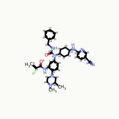 C=C(F)C(=O)Nc1cc(N(C(=O)NCc2ccccc2)C2CCC(Nc3ccc(C#N)cn3)CC2)ccc1N1CCN(C)C(C)C1